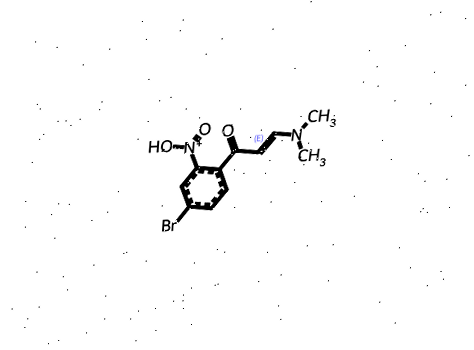 CN(C)/C=C/C(=O)c1ccc(Br)cc1[N+](=O)O